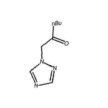 CCCCC(=O)Cn1cncn1